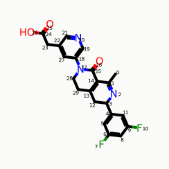 CC1=NC(c2cc(F)cc(F)c2)CC2=C1C(=O)N(c1cncc(CC(=O)O)c1)CC2